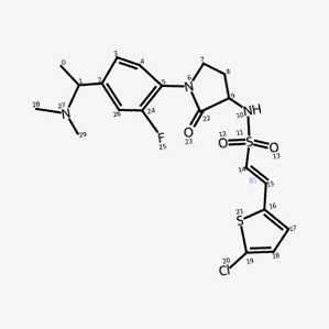 CC(c1ccc(N2CCC(NS(=O)(=O)/C=C/c3ccc(Cl)s3)C2=O)c(F)c1)N(C)C